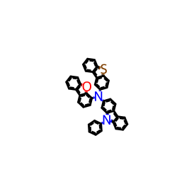 c1ccc(-n2c3ccccc3c3ccc(N(c4ccc5sc6ccccc6c5c4)c4cccc5c4oc4ccccc45)cc32)cc1